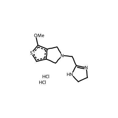 COc1scc2c1CN(CC1=NCCN1)C2.Cl.Cl